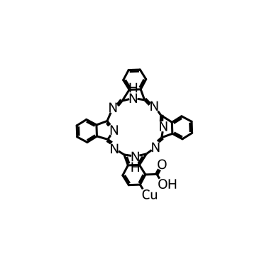 O=C(O)c1[c]([Cu])ccc2c3nc4nc(nc5[nH]c(nc6nc(nc([nH]3)c12)-c1ccccc1-6)c1ccccc51)-c1ccccc1-4